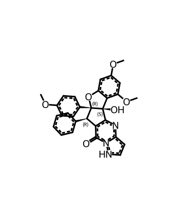 COc1ccc([C@@]23Oc4cc(OC)cc(OC)c4[C@]2(O)c2nc4cc[nH]n4c(=O)c2[C@H]3c2ccccc2)cc1